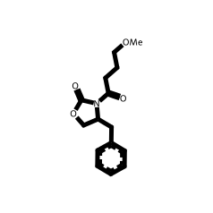 COCCCC(=O)N1C(=O)OCC1Cc1ccccc1